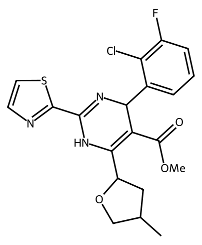 COC(=O)C1=C(C2CC(C)CO2)NC(c2nccs2)=NC1c1cccc(F)c1Cl